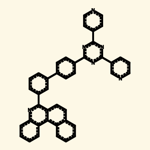 c1cncc(-c2nc(-c3ccncc3)nc(-c3ccc(-c4cccc(-c5nc6ccccc6c6c5ccc5ccccc56)c4)cc3)n2)c1